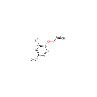 C=CCOc1ccc(C=O)cc1Br